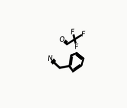 N#CCc1ccccc1.O=CC(F)(F)F